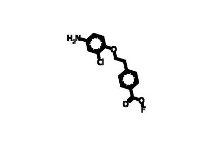 Nc1ccc(OCCc2ccc(C(=O)OF)cc2)c(Cl)c1